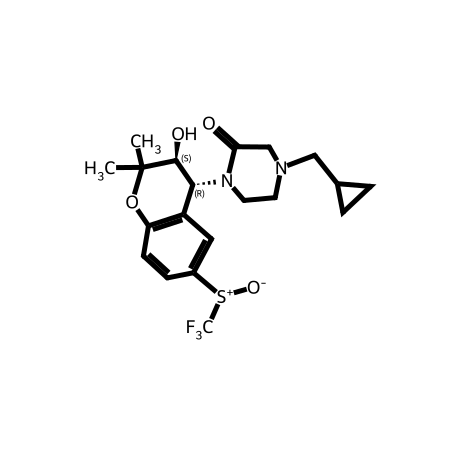 CC1(C)Oc2ccc([S+]([O-])C(F)(F)F)cc2[C@@H](N2CCN(CC3CC3)CC2=O)[C@@H]1O